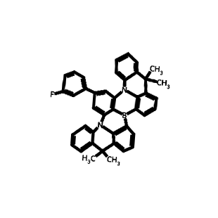 CC1(C)c2ccccc2N2c3cc(-c4cccc(F)c4)cc4c3B(c3cccc1c32)c1cccc2c1N4c1ccccc1C2(C)C